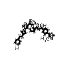 Cc1ncsc1-c1ccc(C(C)NC(=O)C2CCCN2C(=O)C(c2cc(N3CC(CCC4CCNCC4)C3)no2)C(C)C)cc1